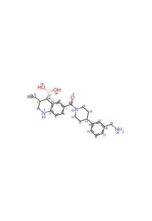 CCCCC1CNc2ccc(C(=O)N3CCC(c4cccc(CN)c4)CC3)cc2C1B(O)O